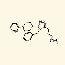 CCCCc1nnc(C2CCN(c3ccccn3)CC2)n1Cc1ccccc1